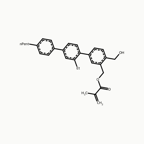 C=C(C)C(=O)OCc1cc(-c2ccc(-c3ccc(CCCCC)cc3)cc2CC)ccc1CO